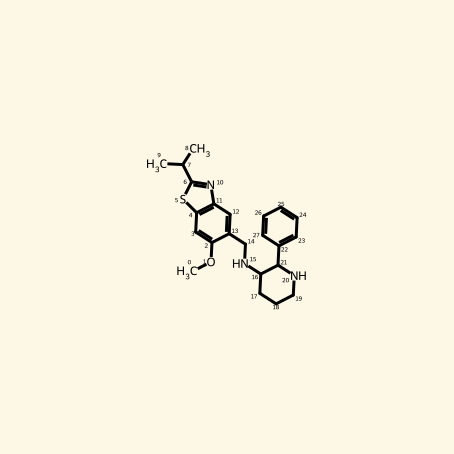 COc1cc2sc(C(C)C)nc2cc1CNC1CCCNC1c1ccccc1